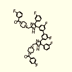 O=C(c1ccc(F)cc1)N1CCN(Cc2nc(-c3cc(F)cc(-c4cc(F)cc(-c5[nH]c(CN6CCN(C(=O)c7cccc(F)c7)CC6)nc5-c5cccc(F)c5)c4)c3)c(-c3cccc(F)c3)[nH]2)CC1